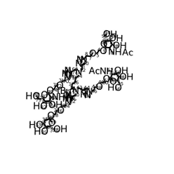 CC(=O)N[C@H]1[C@H](OCCOCCn2cc(CN(CCCCC(N(Cc3cn(CCOCCO[C@H]4C[C@@H](O)[C@@H](O)[C@@H](CO)O4)nn3)Cc3cn(CCOCCO[C@@H]4O[C@H](CO)[C@H](O)[C@H](O)[C@H]4NC(C)=O)nn3)C(C)(C)C)Cc3cn(CCOCCO[C@@H]4O[C@H](CO)[C@H](O)[C@H](O)[C@H]4NC(C)=O)nn3)nn2)O[C@H](CO)[C@H](O)[C@@H]1O